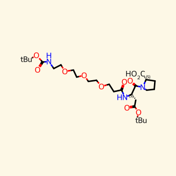 CC(C)(C)OC(=O)C[C@H](NC(=O)CCOCCOCCOCCNC(=O)OC(C)(C)C)C(=O)N1CCC[C@H]1C(=O)O